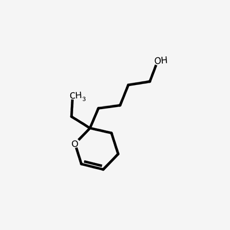 CCC1(CCCCO)CCC=CO1